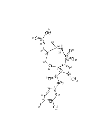 Cn1cc2c(c1C(=O)Nc1ccc(F)c(Cl)c1)OCC1CN(C(=O)O)CC1NS2(=O)=O